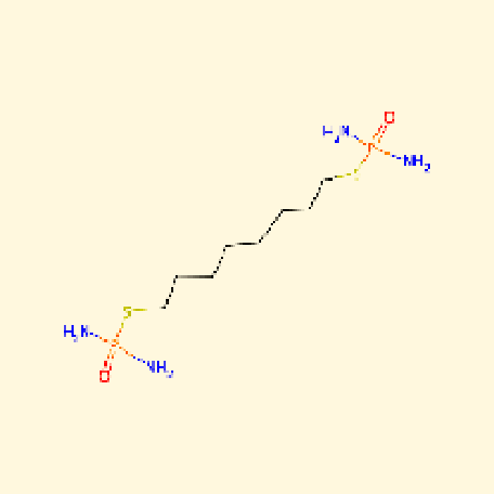 NP(N)(=O)SCCCCCCCCSP(N)(N)=O